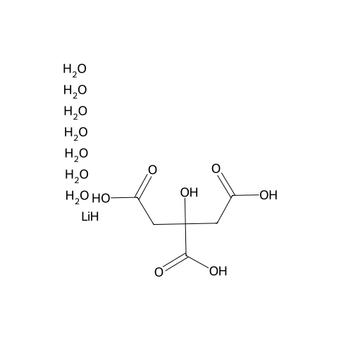 O.O.O.O.O.O.O.O=C(O)CC(O)(CC(=O)O)C(=O)O.[LiH]